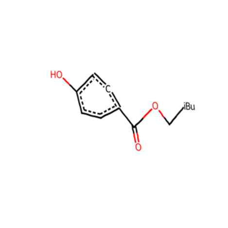 CCC(C)COC(=O)c1ccc(O)cc1